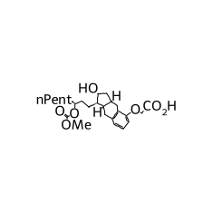 CCCCC[C@@H](CC[C@@H]1[C@H]2Cc3cccc(OCC(=O)O)c3C[C@H]2C[C@H]1O)OC(=O)OC